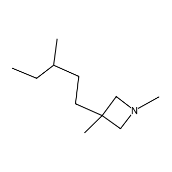 CCC(C)CCC1(C)CN(C)C1